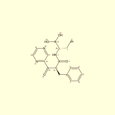 CC(C)C[C@H](NC(=O)[C@@H](Cc1ccccc1)C(=O)c1cnccn1)B(O)O